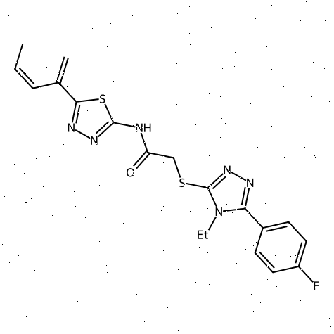 C=C(/C=C\C)c1nnc(NC(=O)CSc2nnc(-c3ccc(F)cc3)n2CC)s1